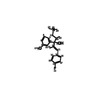 COc1cccc(C(O)(/C(C)=C/c2ccc(F)cc2)C(C)CN(C)C)c1